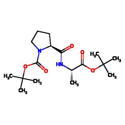 C[C@H](NC(=O)[C@@H]1CCCN1C(=O)OC(C)(C)C)C(=O)OC(C)(C)C